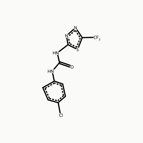 O=C(Nc1ccc(Cl)cc1)Nc1nnc(C(F)(F)F)s1